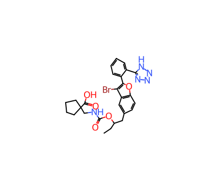 CCC(Cc1ccc2oc(-c3ccccc3-c3nnn[nH]3)c(Br)c2c1)OC(=O)NCC1(C(=O)O)CCCC1